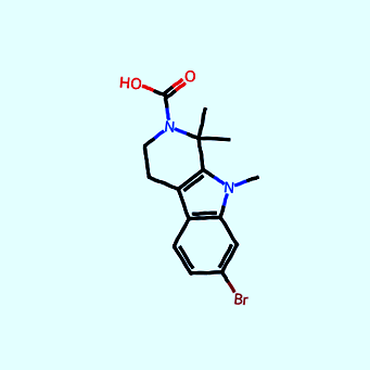 Cn1c2c(c3ccc(Br)cc31)CCN(C(=O)O)C2(C)C